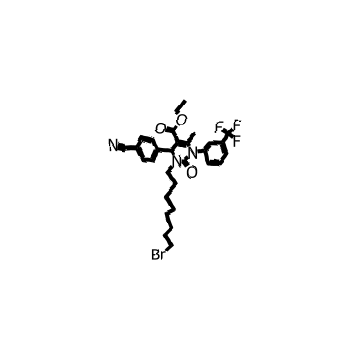 CCOC(=O)C1=C(C)N(c2cccc(C(F)(F)F)c2)C(=O)N(CCCCCCCCBr)C1c1ccc(C#N)cc1